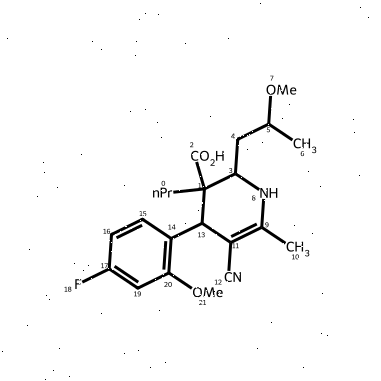 CCCC1(C(=O)O)C(CC(C)OC)NC(C)=C(C#N)C1c1ccc(F)cc1OC